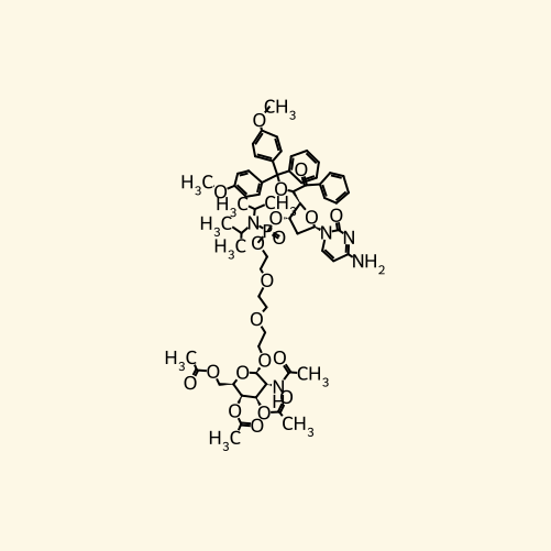 COc1ccc(C(OC(C(=O)c2ccccc2)[C@H]2O[C@@H](n3ccc(N)nc3=O)C[C@@H]2OP(=O)(OCCOCCOCCO[C@@H]2O[C@H](COC(C)=O)[C@H](OC(C)=O)[C@H](OC(C)=O)[C@H]2NC(C)=O)N(C(C)C)C(C)C)(c2ccccc2)c2ccc(OC)cc2)cc1